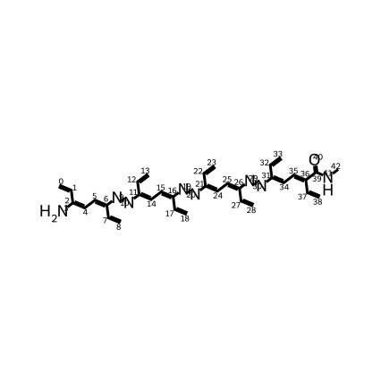 C=C/C(N)=C\C=C(/C=C)N=N/C(C=C)=C/C=C(\C=C)N=N/C(C=C)=C/C=C(\C=C)N=N/C(C=C)=C/C=C(\C=C)C(=O)NC